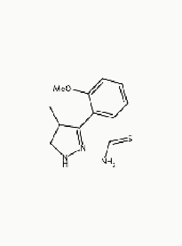 COc1ccccc1C1=NNCC1C.NC=S